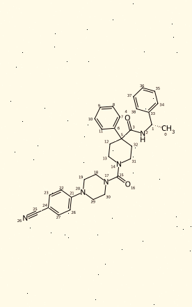 C[C@H](NC(=O)C1(c2ccccc2)CCN(C(=O)N2CCN(c3ccc(C#N)cc3)CC2)CC1)c1ccccc1